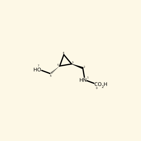 O=C(O)NC[C@@H]1C[C@H]1CO